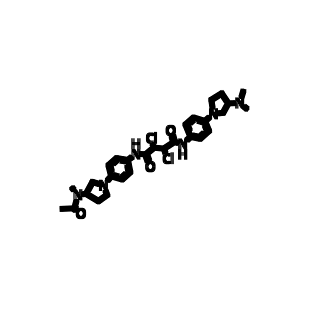 CC(=O)N(C)C1CCN(c2ccc(NC(=O)C(Cl)C(Cl)C(=O)Nc3ccc(N4CCC(N(C)C)C4)cc3)cc2)C1